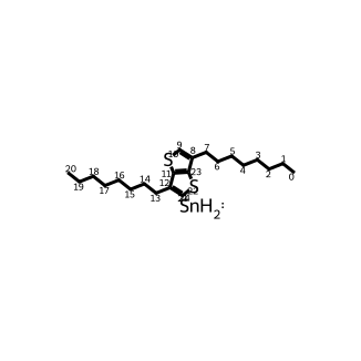 CCCCCCCCc1csc2c(CCCCCCCC)csc12.[SnH2]